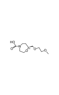 COCCOC[C@@H]1CCN(C(=O)O)CCO1